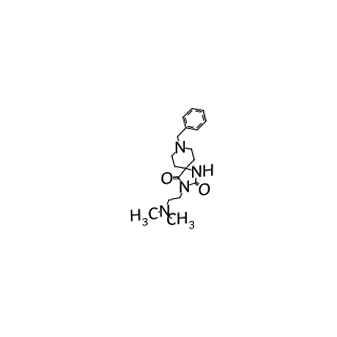 CN(C)CCN1C(=O)NC2(CCN(Cc3ccccc3)CC2)C1=O